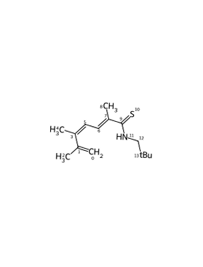 C=C(C)/C(C)=C\C=C(/C)C(=S)NCC(C)(C)C